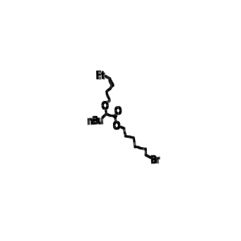 CC/C=C\CCOC(CCCC)C(=O)OCCCCCCBr